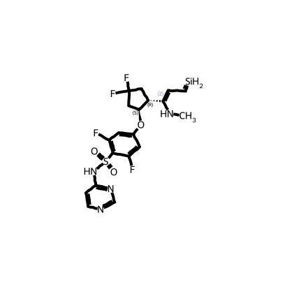 CN/C(=C\C=[SiH2])[C@H]1CC(F)(F)C[C@@H]1Oc1cc(F)c(S(=O)(=O)Nc2ccncn2)c(F)c1